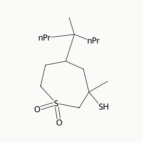 CCCC(C)(CCC)C1CCS(=O)(=O)CC(C)(S)C1